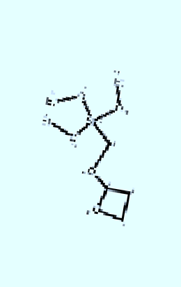 CCO[Si](COC1CCO1)(OCC)OCC